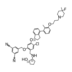 Cc1c(OCCCN2CCC(C)(F)CC2)cccc1-c1cccc2c1CC[C@@H]2Oc1cc(OCc2cc(C#N)cc(C#N)c2)c(CN[C@H]2CCC[C@@H]2O)cc1Cl